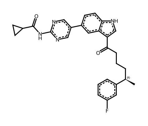 C[C@H](CCCC(=O)c1c[nH]c2ccc(-c3cnc(NC(=O)C4CC4)nc3)cc12)c1cccc(F)c1